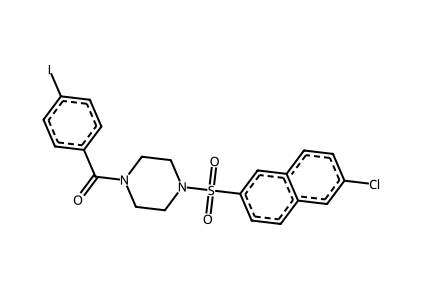 O=C(c1ccc(I)cc1)N1CCN(S(=O)(=O)c2ccc3cc(Cl)ccc3c2)CC1